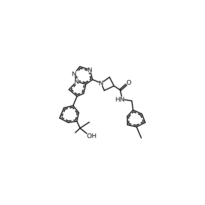 Cc1ccc(CNC(=O)C2CN(c3ncnn4cc(-c5cccc(C(C)(C)O)c5)cc34)C2)cc1